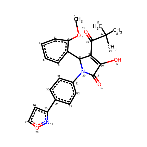 COc1ccccc1C1C(C(=O)C(C)(C)C)=C(O)C(=O)N1c1ccc(-c2ccon2)cc1